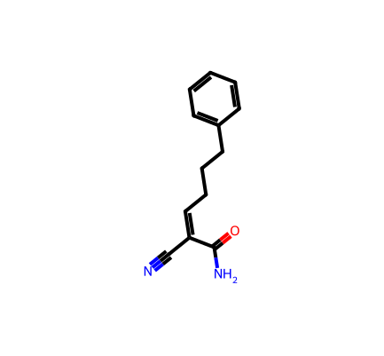 N#CC(=CCCCc1ccccc1)C(N)=O